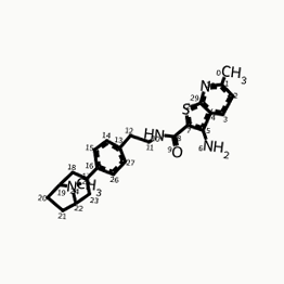 Cc1ccc2c(N)c(C(=O)NCCc3ccc(C4CC5CCC(C4)N5C)cc3)sc2n1